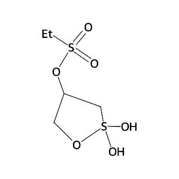 CCS(=O)(=O)OC1COS(O)(O)C1